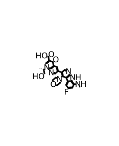 CNc1cc(F)cc2c1[nH]c1ncc(-c3cnc4c(c3)c(=O)c(C(=O)O)cn4[C@@H](C)CO)c(N3CCOCC3)c12